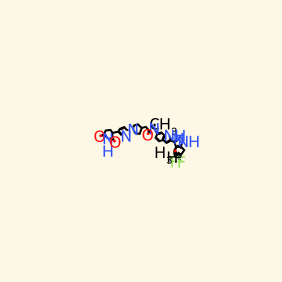 CN(C(=O)CC1CCN(c2ccc(C3CCC(=O)NC3=O)cn2)CC1)c1ccc2cc(-c3n[nH]c4c3C[C@@H]3C(F)(F)C3(C)C4)[nH]c2c1